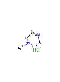 CC(=O)N1CCNCC1.Cl